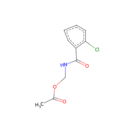 CC(=O)OCNC(=O)c1ccccc1Cl